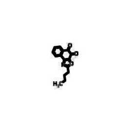 CCCCc1nc2c(o1)C(=O)C(=O)c1ccccc1-2